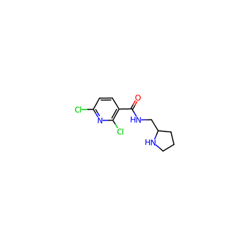 O=C(NCC1CCCN1)c1ccc(Cl)nc1Cl